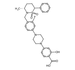 C[C@@H]1CCC(c2ccccc2)S(=O)(=O)N1Cc1ccc(N2CCN(c3ccc(C(=O)O)c(O)c3)CC2)cc1F